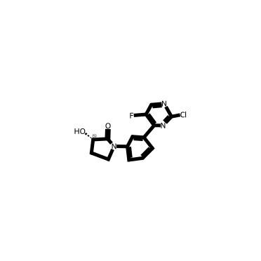 O=C1[C@@H](O)CCN1c1cccc(-c2nc(Cl)ncc2F)c1